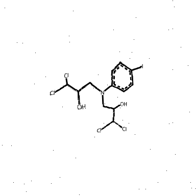 OC(CN(CC(O)C(Cl)Cl)c1ccc(I)cc1)C(Cl)Cl